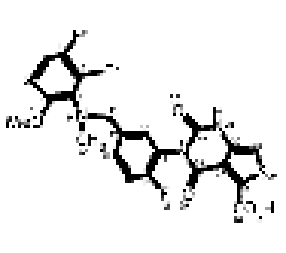 COc1ccc(F)c(F)c1N(C)Cc1ccc(F)c(-n2c(=O)[nH]c3csc(C(=O)O)c3c2=O)c1